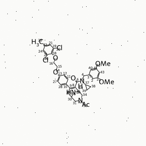 COc1cc(CN(C(=O)C2=C(c3ccc(OCCOc4c(Cl)cc(C)cc4Cl)cc3)CC3CN(C(C)=O)C[C@H]2N3)C2CC2)cc(OC)c1